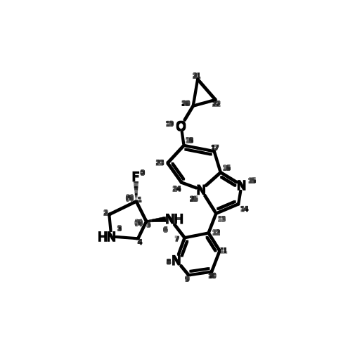 F[C@H]1CNC[C@@H]1Nc1ncccc1-c1cnc2cc(OC3CC3)ccn12